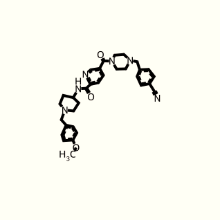 COc1ccc(CN2CCC(NC(=O)c3ccc(C(=O)N4CCN(Cc5ccc(C#N)cc5)CC4)cn3)CC2)cc1